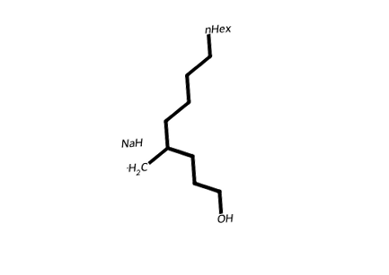 [CH2]C(CCCO)CCCCCCCCCC.[NaH]